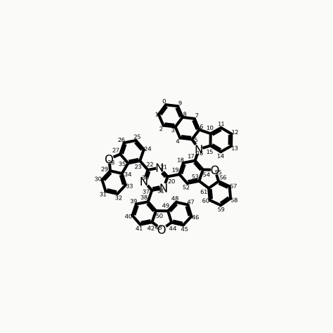 c1ccc2cc3c(cc2c1)c1ccccc1n3-c1cc(-c2nc(-c3cccc4oc5ccccc5c34)nc(-c3cccc4oc5ccccc5c34)n2)cc2c1oc1ccccc12